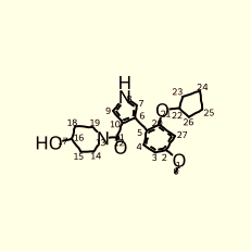 COc1ccc(-c2c[nH]cc2C(=O)N2CCC(O)CC2)c(OC2CCCC2)c1